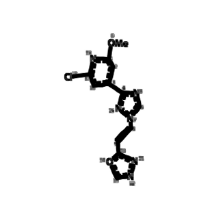 COc1cc(-c2ncn(C=Cc3nnco3)n2)cc(Cl)n1